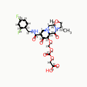 C[C@H]1CO[C@@H]2Cn3cc(C(=O)NCc4ccc(F)cc4F)c(=O)c(OCOC(=O)OCC(=O)O)c3C(=O)N12